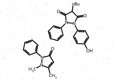 CCCCC1C(=O)N(c2ccccc2)N(c2ccc(O)cc2)C1=O.Cc1cc(=O)n(-c2ccccc2)n1C